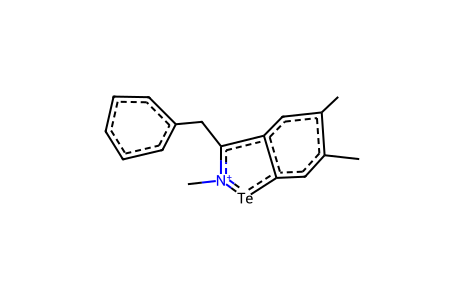 Cc1cc2[te][n+](C)c(Cc3ccccc3)c2cc1C